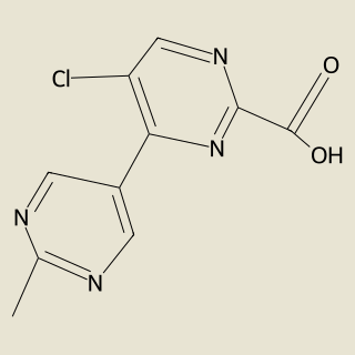 Cc1ncc(-c2nc(C(=O)O)ncc2Cl)cn1